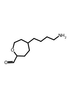 NCCCCC1CCOC(C=O)CC1